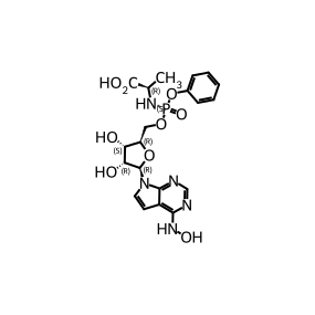 C[C@@H](N[P@](=O)(OC[C@H]1O[C@@H](n2ccc3c(NO)ncnc32)[C@H](O)[C@@H]1O)Oc1ccccc1)C(=O)O